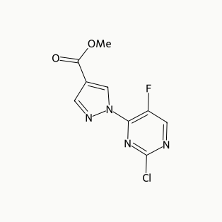 COC(=O)c1cnn(-c2nc(Cl)ncc2F)c1